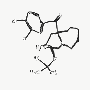 CCCC1(C(=O)c2ccc(Cl)c(Cl)c2)CCCCN1C(=O)OC(C)(C)C